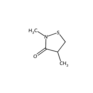 CC1CSN(C)C1=O